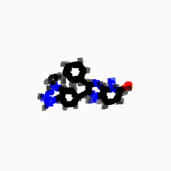 Cn1nnc2ccc(-c3nc4ccc(=O)[nH]c4nc3-c3ccccc3)cc21